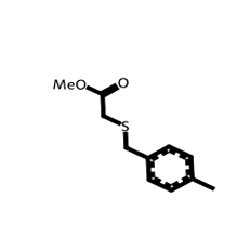 COC(=O)CSCc1ccc(C)cc1